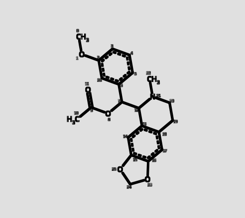 COc1cccc(C(OC(C)=O)C2c3cc4c(cc3CCN2C)OCO4)c1